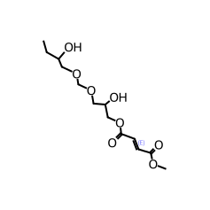 CCC(O)COCOCC(O)COC(=O)/C=C/C(=O)OC